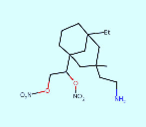 CCC12CCCC(C(CO[N+](=O)[O-])O[N+](=O)[O-])(CC(C)(CCN)C1)C2